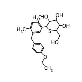 CCOc1ccc(Cc2cc(C3SC(CO)C(O)C(O)C3O)c(C)cc2C)cc1